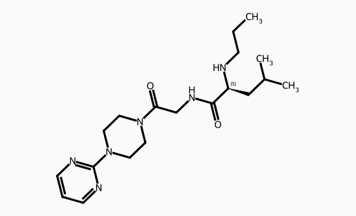 CCCN[C@@H](CC(C)C)C(=O)NCC(=O)N1CCN(c2ncccn2)CC1